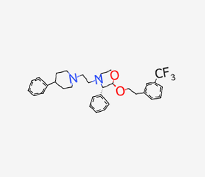 FC(F)(F)c1cccc(CCO[C@@H]2OCCN(CCN3CCC(c4ccccc4)CC3)[C@H]2c2ccccc2)c1